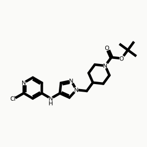 CC(C)(C)OC(=O)N1CCC(Cn2cc(Nc3ccnc(Cl)c3)cn2)CC1